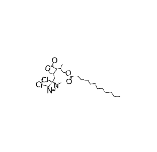 CCCCCCCCCCCC(=O)OCC(C)[C@@H]1C(=O)OC[C@@H]1CC1(Cl)C(Cl)N=CN1C